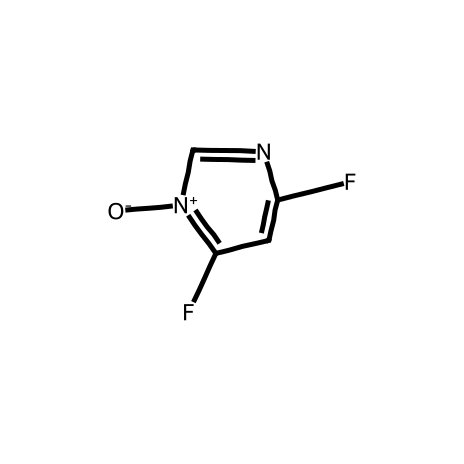 [O-][n+]1cnc(F)cc1F